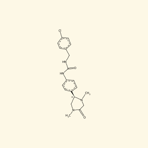 CN1C[C@@H](c2ccc(NC(=O)NCc3ccc(Cl)cc3)cc2)N(C)CC1=O